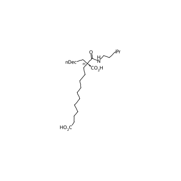 CCCCCCCCCCC[C@](CCCCCCCCCCC(=O)O)(C(=O)O)C(=O)NCCC(C)C